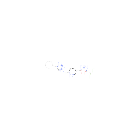 FC(F)c1nnc(-c2ccc(Cn3cc(C4CCCCC4)nn3)nc2)o1